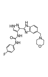 O=C(Nc1ccc(F)cc1)Nc1c[nH]nc1-c1nc2cc(CN3CCOCC3)ccc2[nH]1